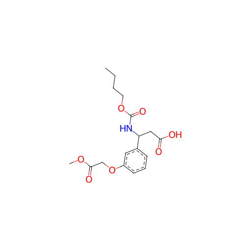 CCCCOC(=O)NC(CC(=O)O)c1cccc(OCC(=O)OC)c1